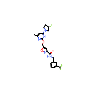 Cc1cc(N2CC[C@@H](F)C2)nc(OCc2cc(C(=O)NCc3cccc(C(F)F)c3)no2)n1